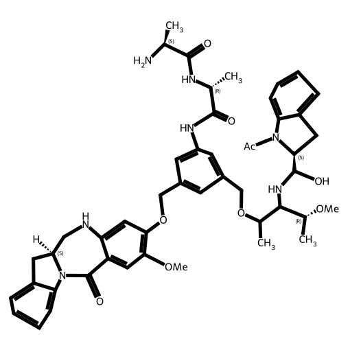 COc1cc2c(cc1OCc1cc(COC(C)C(NC(O)[C@@H]3Cc4ccccc4N3C(C)=O)[C@@H](C)OC)cc(NC(=O)[C@@H](C)NC(=O)[C@H](C)N)c1)NC[C@@H]1Cc3ccccc3N1C2=O